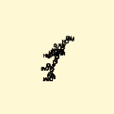 COc1nccc2c1OCC[C@@H]2N1CCN(C2CC3(CCN(c4ccc(C(=O)NS(=O)(=O)c5ccc(NC[C@H]6CC[C@](C)(O)CC6)c([N+](=O)[O-])c5)c(N5c6cc7cc[nH]c7nc6O[C@H]6COCC[C@@H]65)c4)CC3)C2)[C@@H](c2ccccc2OC(C)C)C1